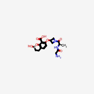 C[C@@H](NC(=O)CN)C(=O)N1CC(Oc2ccc3c(c2C(=O)O)OB(O)CC3)C1